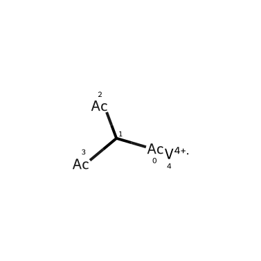 CC(=O)C(C(C)=O)C(C)=O.[V+4]